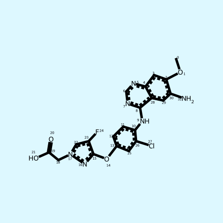 COc1cc2ncnc(Nc3ccc(Oc4nn(CC(=O)O)cc4F)cc3Cl)c2cc1N